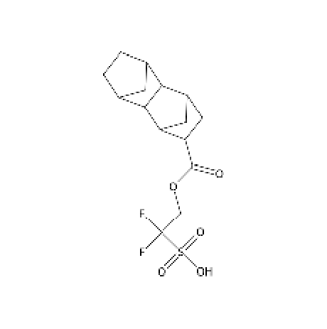 O=C(OCC(F)(F)S(=O)(=O)O)C1CC2CC1C1C3CCC(C3)C21